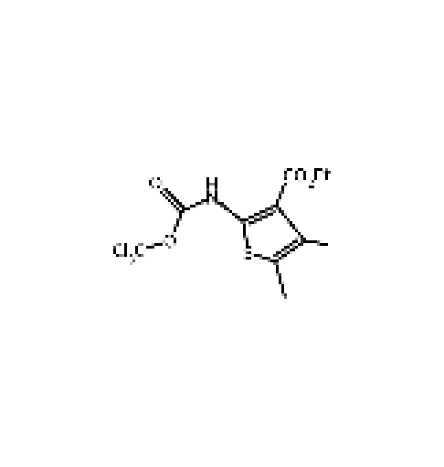 CCOC(=O)c1c(NC(=O)OC(Cl)(Cl)Cl)sc(C)c1C